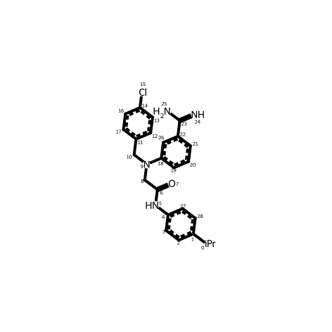 CC(C)c1ccc(NC(=O)CN(Cc2ccc(Cl)cc2)c2cccc(C(=N)N)c2)cc1